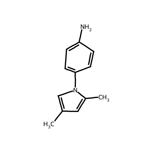 Cc1cc(C)n(-c2ccc(N)cc2)c1